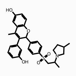 CC1=C(c2cccc(O)c2)C(c2ccc(S(=O)(=O)CC(C)N3CCC(C)C3)cc2)Oc2ccc(O)cc21